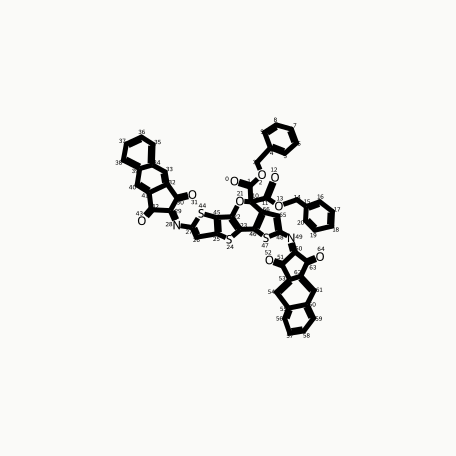 O=C(OCc1ccccc1)C1(C(=O)OCc2ccccc2)Oc2c(sc3cc(N=c4c(=O)c5cc6ccccc6cc5c4=O)sc23)-c2sc(N=c3c(=O)c4cc5ccccc5cc4c3=O)cc21